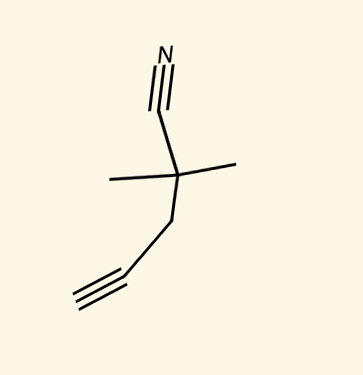 C#CCC(C)(C)C#N